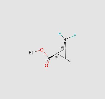 CCOC(=O)[C@@H]1C(C)[C@@H]1B(F)F